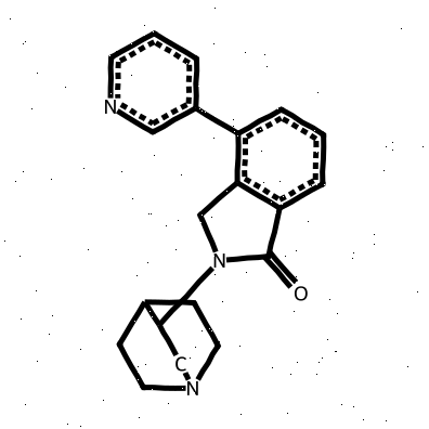 O=C1c2cccc(-c3cccnc3)c2CN1C1CN2CCC1CC2